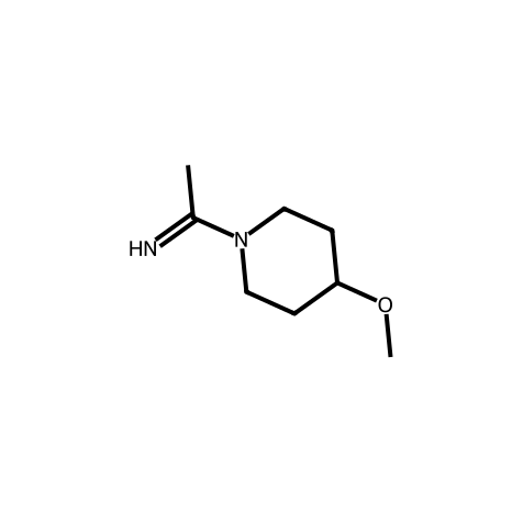 COC1CCN(C(C)=N)CC1